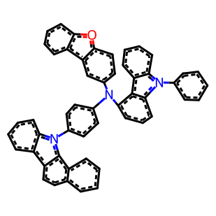 c1ccc(-n2c3ccccc3c3c(N(c4ccc(-n5c6ccccc6c6ccc7ccccc7c65)cc4)c4ccc5oc6ccccc6c5c4)cccc32)cc1